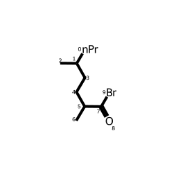 CCCC(C)CCC(C)C(=O)Br